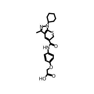 Cc1nn(C2CCCCC2)c2c1C=C(C(=O)Nc1ccc(OCC(=O)O)cc1)CS2